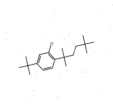 CC(C)(C)CCC(C)(C)c1ccc(C(C)(C)C)cc1Cl